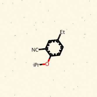 CCc1ccc(O[C](C)C)c(C#N)c1